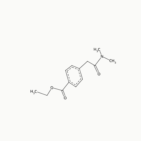 CCOC(=O)c1ccc(CC(=O)N(C)C)cc1